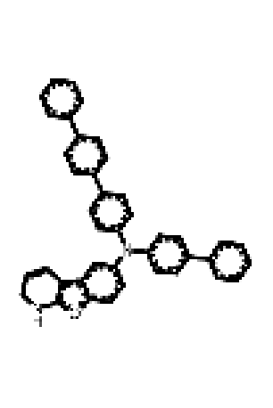 C1=Cc2c(oc3ccc(N(c4ccc(-c5ccccc5)cc4)c4ccc(-c5ccc(-c6ccccc6)cc5)cc4)cc23)NC1